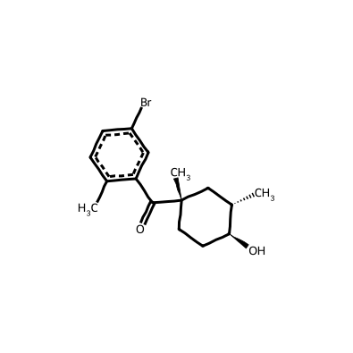 Cc1ccc(Br)cc1C(=O)[C@@]1(C)CC[C@H](O)[C@@H](C)C1